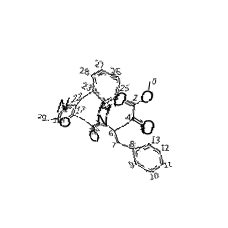 COC(=O)C(=O)C(Cc1ccccc1)NC(=O)c1oc(C)nc1-c1ccccc1